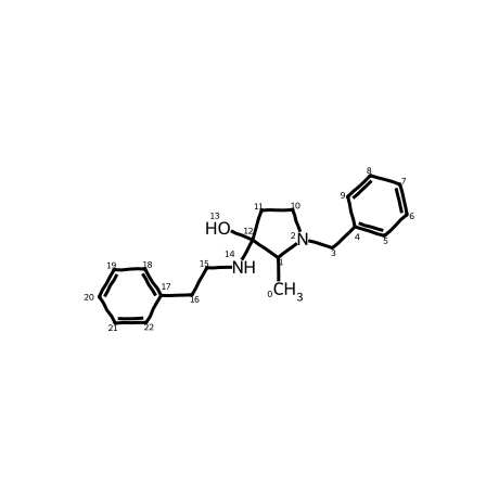 CC1N(Cc2ccccc2)CCC1(O)NCCc1ccccc1